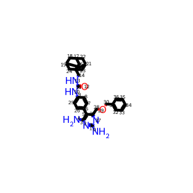 Nc1nc(N)c(-c2ccc(NC(=O)NCC34CC5CC(CC(C5)C3)C4)cc2)c(COCc2ccccc2)n1